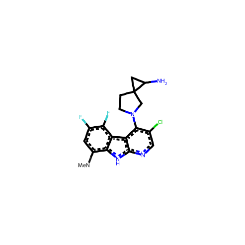 CNc1cc(F)c(F)c2c1[nH]c1ncc(Cl)c(N3CCC4(CC4N)C3)c12